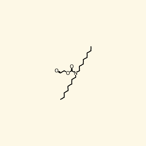 CCCCCCCCN(CCCCCCCC)C(=O)OCC=O